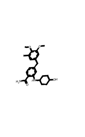 COc1cc(Cc2ccc(C(N)=O)c(NC3CCC(O)CC3)c2)cc(I)c1OC